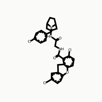 O=C(CNC(=O)c1c(Cl)ccc2c1Cc1cc(Cl)ccc1O2)NC1CC2CCC(C1)N2Cc1ccc(Cl)cc1